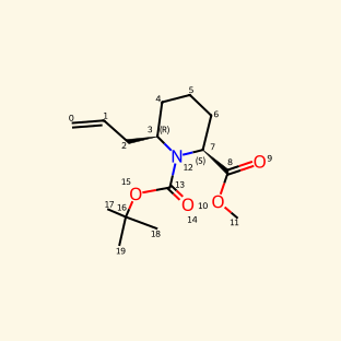 C=CC[C@H]1CCC[C@@H](C(=O)OC)N1C(=O)OC(C)(C)C